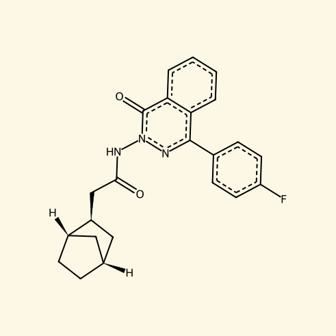 O=C(C[C@H]1C[C@@H]2CC[C@H]1C2)Nn1nc(-c2ccc(F)cc2)c2ccccc2c1=O